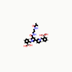 CC(C)C(=O)NCCCNC(=O)c1cc(-c2ccc[n+](Cc3ccccc3B(O)O)c2)c[n+](Cc2ccccc2B(O)O)c1